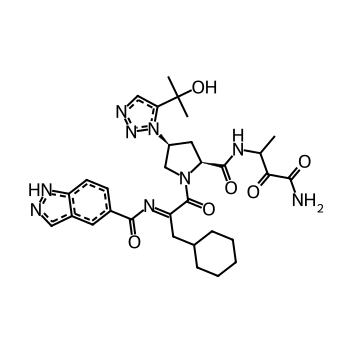 CC(NC(=O)[C@@H]1C[C@H](n2nncc2C(C)(C)O)CN1C(=O)/C(CC1CCCCC1)=N/C(=O)c1ccc2[nH]ncc2c1)C(=O)C(N)=O